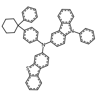 c1ccc(-n2c3ccccc3c3cc(N(c4ccc(C5(c6ccccc6)CCCCC5)cc4)c4ccc5c(c4)sc4ccccc45)ccc32)cc1